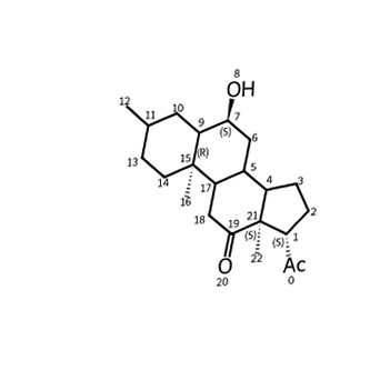 CC(=O)[C@H]1CCC2C3C[C@H](O)C4CC(C)CC[C@]4(C)C3CC(=O)[C@@]21C